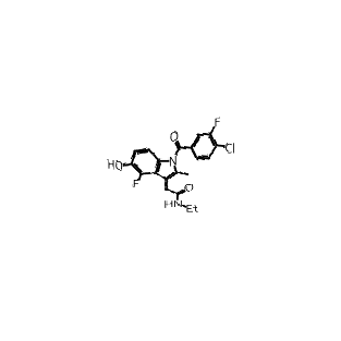 CCNC(=O)Cc1c(C)n(C(=O)c2ccc(Cl)c(F)c2)c2ccc(O)c(F)c12